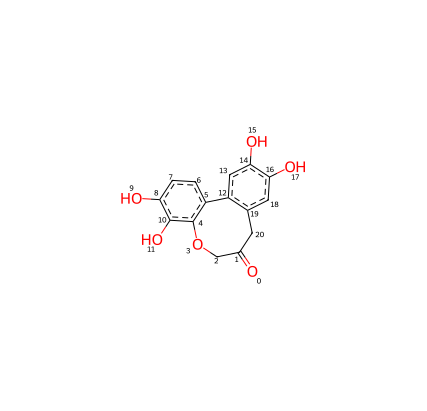 O=C1COc2c(ccc(O)c2O)-c2cc(O)c(O)cc2C1